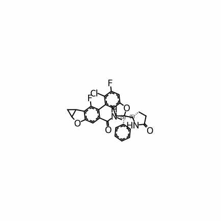 CNC(=O)c1cc2c(c(F)c1-c1c(Cl)c(F)cc3c1C[C@](c1ccccc1)([C@@H]1CCC(=O)N1)O3)C1CC1O2